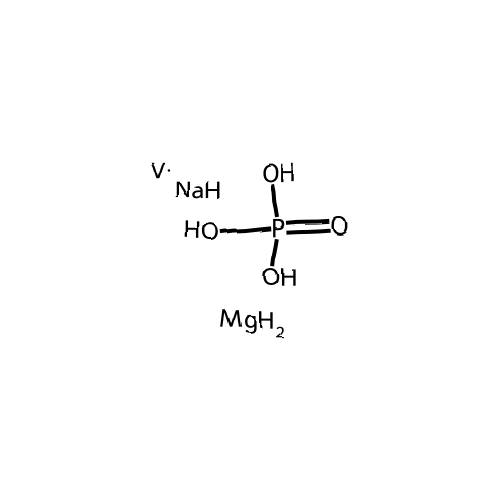 O=P(O)(O)O.[MgH2].[NaH].[V]